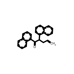 C=CCC(C(=O)c1cccc2ccccc12)c1cccc2ccccc12